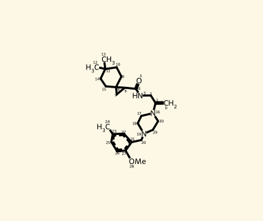 C=C(CNC(=O)C1CC12CCC(C)(C)CC2)N1CCN(Cc2cc(C)ccc2OC)CC1